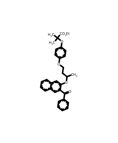 CCOC(=O)C(C)(C)Oc1ccc(OCCC(C)Oc2cc3ccccc3cc2C(=O)c2ccccc2)cc1